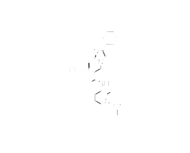 CC(C)Oc1cc2nc(C3CCCCC3)cn2cc1C(=O)Nc1cccn(C2CC2F)c1=O